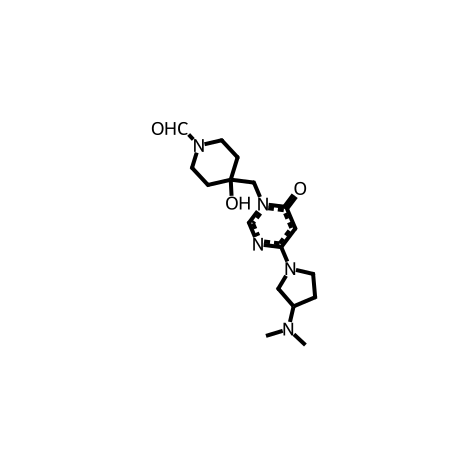 CN(C)C1CCN(c2cc(=O)n(CC3(O)CCN(C=O)CC3)cn2)C1